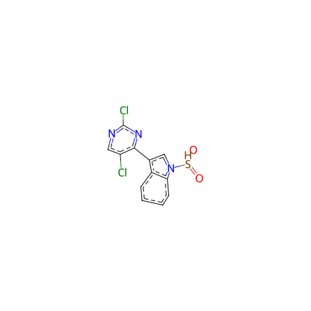 O=[SH](=O)n1cc(-c2nc(Cl)ncc2Cl)c2ccccc21